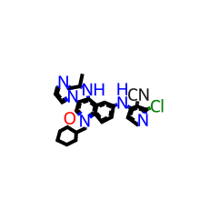 CC(Nc1cc(=O)n(CC2CCCCC2)c2ccc(Nc3ccnc(Cl)c3C#N)cc12)c1ncccn1